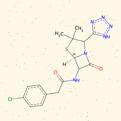 CC1(C)S[C@@H]2C(NC(=O)Cc3ccc(Cl)cc3)C(=O)N2C1c1nnn[nH]1